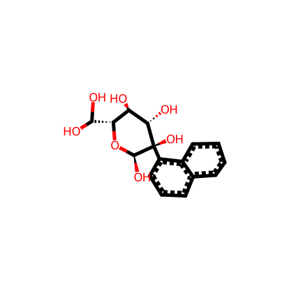 OC(O)[C@H]1O[C@H](O)[C@@](O)(c2cccc3ccccc23)[C@@H](O)[C@@H]1O